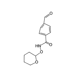 O=Cc1ccc(C(=O)NOC2CCCCO2)cc1